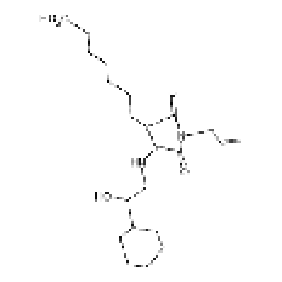 C=CCN1C(=O)C(CCCCCCC(=O)O)N(NCC(O)C2CCCCC2)C1=O